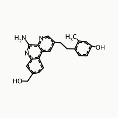 Cc1cc(O)ccc1CCc1cnc2c(N)nc3cc(CO)ccc3c2c1